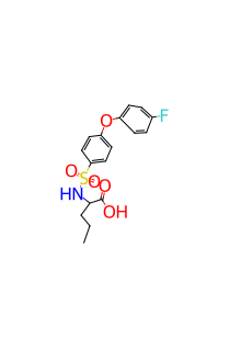 CCCC(NS(=O)(=O)c1ccc(Oc2ccc(F)cc2)cc1)C(=O)O